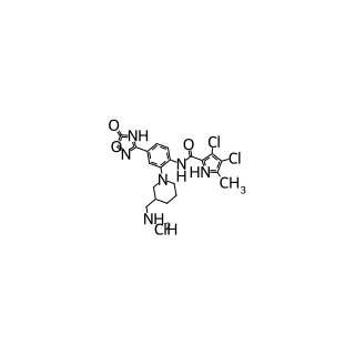 Cc1[nH]c(C(=O)Nc2ccc(-c3noc(=O)[nH]3)cc2N2CCCC(CN)C2)c(Cl)c1Cl.Cl